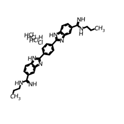 CCCNC(=N)c1ccc2[nH]c(-c3ccc(-c4nc5cc(C(=N)NCCC)ccc5[nH]4)cc3)nc2c1.Cl.Cl.Cl.Cl